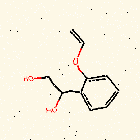 C=COc1ccccc1C(O)CO